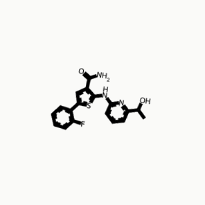 CC(O)c1cccc(Nc2sc(-c3ccccc3F)cc2C(N)=O)n1